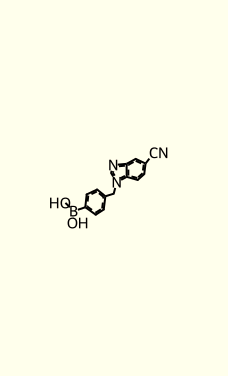 N#Cc1ccc2c(c1)ncn2Cc1ccc(B(O)O)cc1